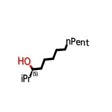 CCCCCCCCCC[C@H](O)C(C)C